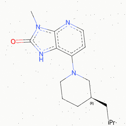 C[C](C)C[C@H]1CCCN(c2ccnc3c2[nH]c(=O)n3C)C1